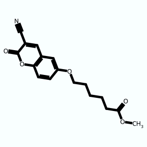 COC(=O)CCCCCOc1ccc2oc(=O)c(C#N)cc2c1